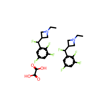 CCN1CC(C(F)c2cc(F)cc(F)c2F)C1.CCN1CC(C(F)c2cc(F)cc(F)c2F)C1.O=C(O)C(=O)O